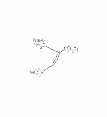 CCOC(=O)C(C)=CS(=O)(=O)O.[NaH]